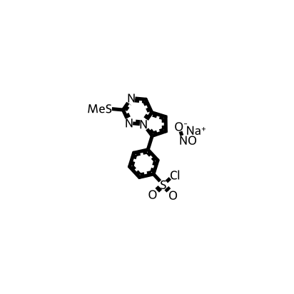 CSc1ncc2ccc(-c3cccc(S(=O)(=O)Cl)c3)n2n1.O=N[O-].[Na+]